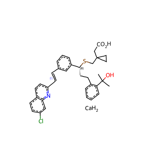 CC(C)(O)c1ccccc1CC[C@@H](SCC1(CC(=O)O)CC1)c1cccc(/C=C/c2ccc3ccc(Cl)cc3n2)c1.[CaH2]